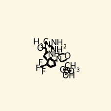 CN(C(=N)N)C(=O)c1cc2c(C(F)(F)F)ccc(N3CCOCC3)c2[nH]1.CS(=O)(=O)O